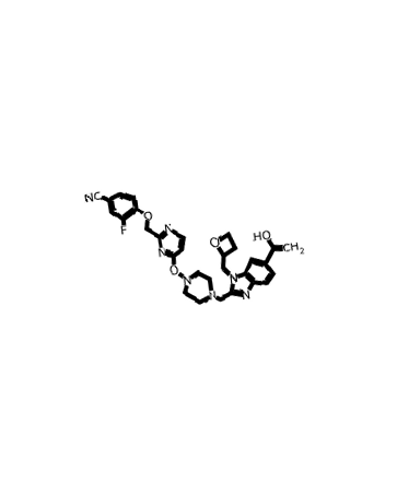 C=C(O)c1ccc2nc(CN3CCN(Oc4ccnc(COc5ccc(C#N)cc5F)n4)CC3)n(CC3CCO3)c2c1